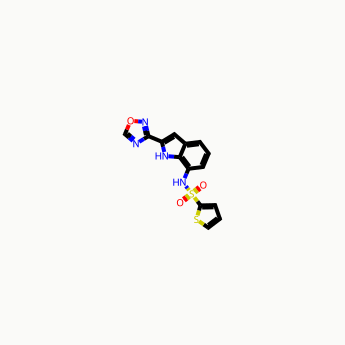 O=S(=O)(Nc1cccc2cc(-c3ncon3)[nH]c12)c1cccs1